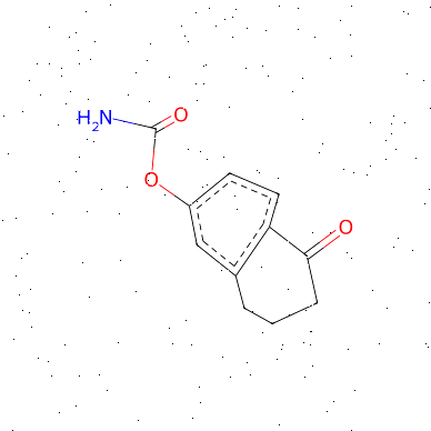 NC(=O)Oc1ccc2c(c1)CCCC2=O